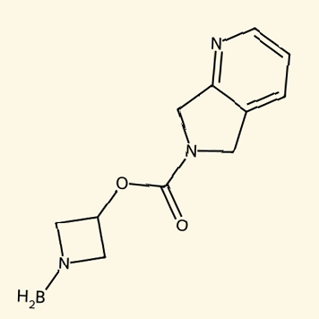 BN1CC(OC(=O)N2Cc3cccnc3C2)C1